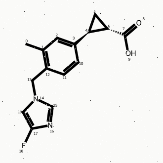 Cc1cc([C@H]2C[C@@H]2C(=O)O)ccc1Cn1cnc(F)c1